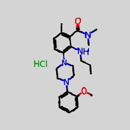 CCCNc1c(N2CCN(c3ccccc3OC)CC2)ccc(C)c1C(=O)N(C)C.Cl